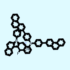 C/C=C\c1c(C(F)c2cccc(N(c3ccc(-c4ccc5c(ccc6ccccc65)c4)cc3)c3ccc(-c4ccc5c(ccc6ccccc65)c4)cc3)c2)c2c3ccccc3ccc2n1-c1ccccc1